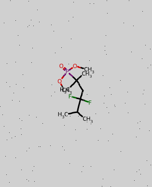 COP(=O)(OC)C(C)(C)CC(F)(F)C(C)C